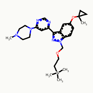 CN1CCN(c2cc(-c3nn(COCC[Si](C)(C)C)c4ccc(OC5(C)CC5)cc34)ncn2)CC1